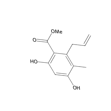 C=CCc1c(C)c(O)cc(O)c1C(=O)OC